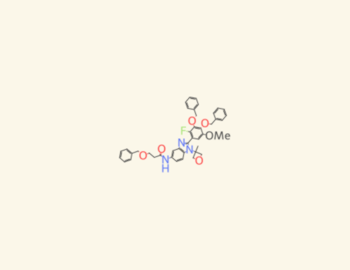 COc1cc(-c2nc3cc(NC(=O)CCOCc4ccccc4)ccc3n2C2(C)COC2)c(F)c(OCc2ccccc2)c1OCc1ccccc1